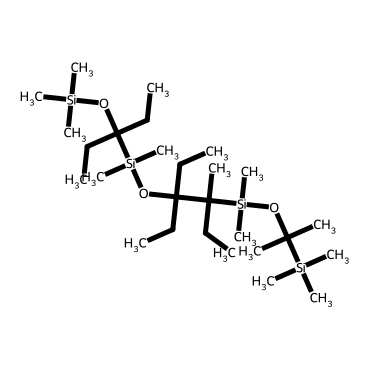 CCC(CC)(O[Si](C)(C)C(CC)(CC)O[Si](C)(C)C)C(C)(CC)[Si](C)(C)OC(C)(C)[Si](C)(C)C